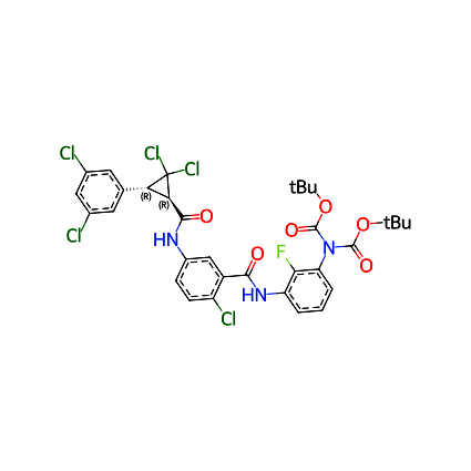 CC(C)(C)OC(=O)N(C(=O)OC(C)(C)C)c1cccc(NC(=O)c2cc(NC(=O)[C@H]3[C@H](c4cc(Cl)cc(Cl)c4)C3(Cl)Cl)ccc2Cl)c1F